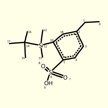 CCc1ccc(S(=O)(=O)O)c([Si](C)(C)C(C)(C)C)c1